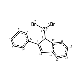 [Br][Zr]([Br])[CH]1C(c2ccccc2)=Cc2ccccc21